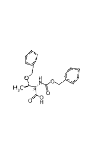 CC(OCc1ccccc1)[C@H](NC(=O)OCc1ccccc1)C(=O)O